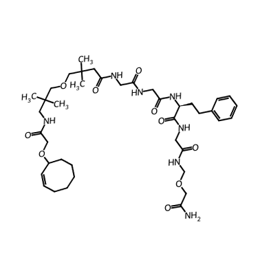 CC(C)(CNC(=O)COC1/C=C\CCCCC1)COCC(C)(C)CC(=O)NCC(=O)NCC(=O)N[C@@H](CCc1ccccc1)C(=O)NCC(=O)NCOCC(N)=O